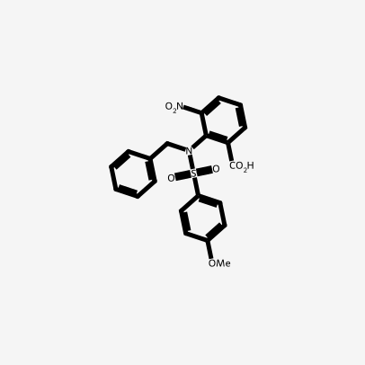 COc1ccc(S(=O)(=O)N(Cc2ccccc2)c2c(C(=O)O)cccc2[N+](=O)[O-])cc1